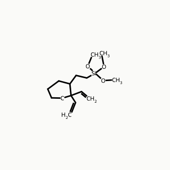 C=CC1(C=C)CCCCC1CC[Si](OC)(OC)OC